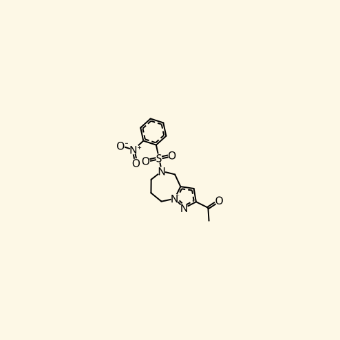 CC(=O)c1cc2n(n1)CCCN(S(=O)(=O)c1ccccc1[N+](=O)[O-])C2